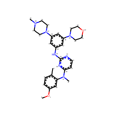 COc1ccc(C)c(N(C)c2ccnc(Nc3cc(N4CCOCC4)cc(N4CCN(C)CC4)c3)n2)c1